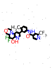 Cc1ccc(NC(=O)c2ccnc(C(F)(F)F)c2)cc1-c1cnc2c(c1)N1CCOCC1C(F)(F)[C@@H]2O